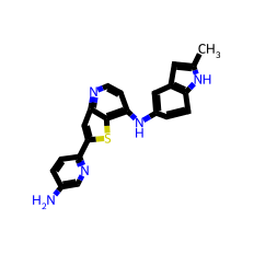 Cc1cc2cc(Nc3ccnc4cc(-c5ccc(N)cn5)sc34)ccc2[nH]1